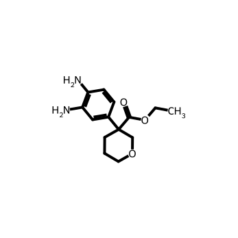 CCOC(=O)C1(c2ccc(N)c(N)c2)CCCOC1